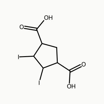 O=C(O)C1CC(C(=O)O)C(I)C1I